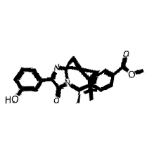 COC(=O)c1ccc([C@@H](C)N2C(=O)C(c3cccc(O)c3)=NC23CC32CC2C(C)(C)C)cc1